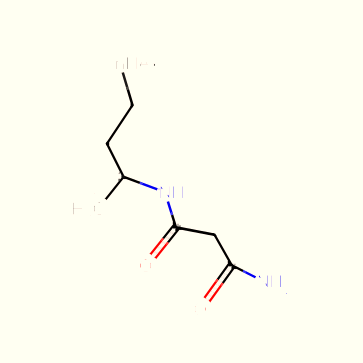 CCCCCCCCC(C)NC(=O)CC(N)=O